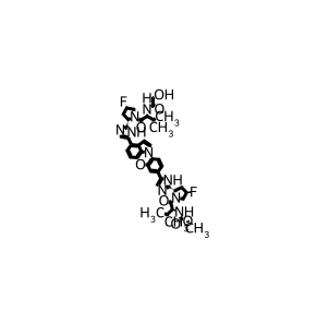 COC(=O)N[C@H](C(=O)N1C[C@H](F)C[C@H]1c1ncc(-c2ccc3c(c2)Oc2ccc(-c4cnc([C@@H]5C[C@@H](F)CN5C(=O)[C@@H](NC(=O)CO)C(C)C)[nH]4)c4ccn-3c24)[nH]1)C(C)C